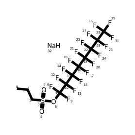 CCCS(=O)(=O)OC(F)(F)C(F)(F)C(F)(F)C(F)(F)C(F)(F)C(F)(F)C(F)(F)C(F)(F)F.[NaH]